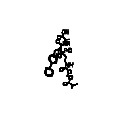 CC(C)C(=O)OCOC(=O)NCCC(O)([PH2]=O)C(Cc1ccc(-c2ccccc2)cc1)C(=O)NC(C)C(=O)O